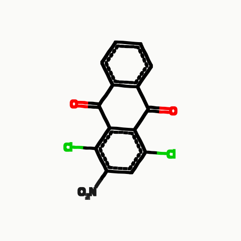 O=C1c2ccccc2C(=O)c2c(Cl)c([N+](=O)[O-])cc(Cl)c21